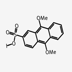 COc1c2ccccc2c(OC)c2cc(S(=O)(=O)OI)ccc12